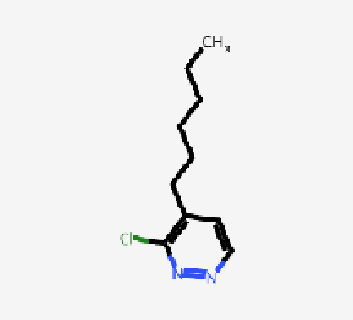 CCCCCCc1ccnnc1Cl